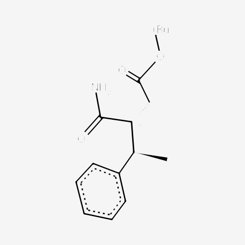 C[C@@H](c1ccccc1)[C@@H](CC(=O)OC(C)(C)C)C(N)=O